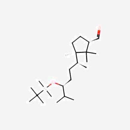 CC(C)[C@H](CC[C@H](C)[C@@]1(C)CC[C@@H](C=O)C1(C)C)O[Si](C)(C)C(C)(C)C